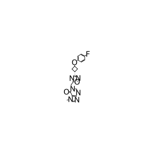 Cn1cnc2ncn(Cc3nc([C@H]4C[C@H](Oc5ccc(F)cc5)C4)no3)c(=O)c21